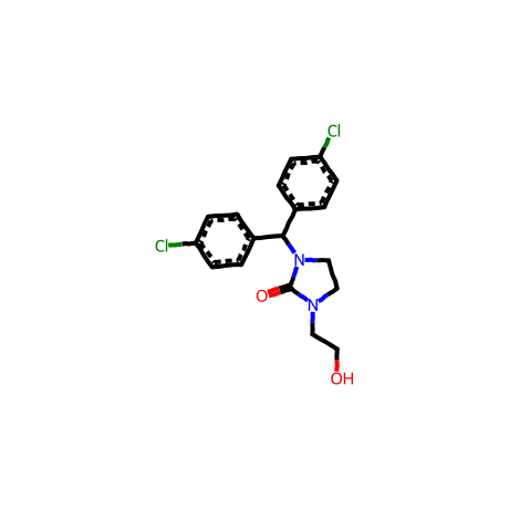 O=C1N(CCO)CCN1C(c1ccc(Cl)cc1)c1ccc(Cl)cc1